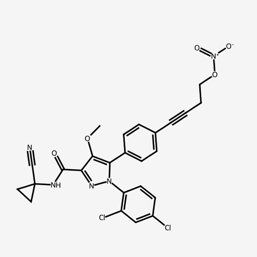 COc1c(C(=O)NC2(C#N)CC2)nn(-c2ccc(Cl)cc2Cl)c1-c1ccc(C#CCCO[N+](=O)[O-])cc1